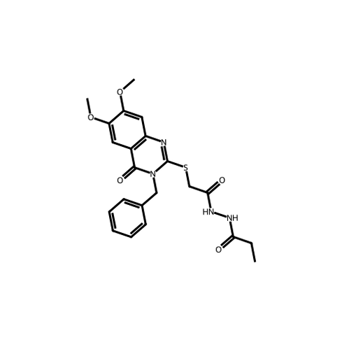 CCC(=O)NNC(=O)CSc1nc2cc(OC)c(OC)cc2c(=O)n1Cc1ccccc1